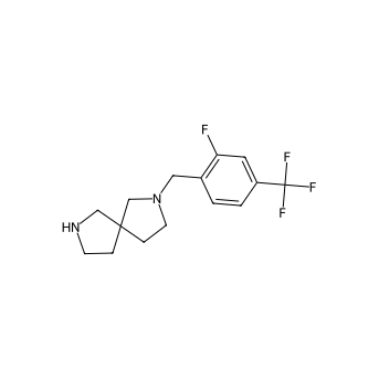 Fc1cc(C(F)(F)F)ccc1CN1CCC2(CCNC2)C1